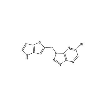 Brc1cnc2nnn(Cc3cc4[nH]ccc4s3)c2n1